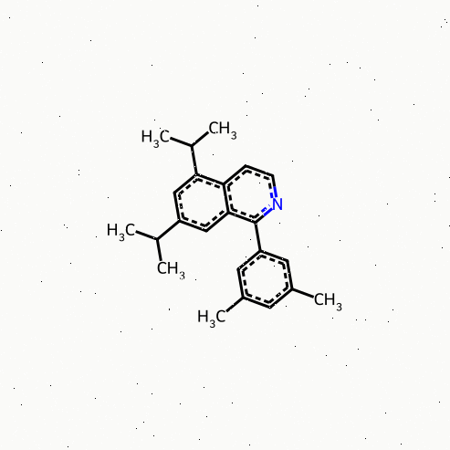 Cc1cc(C)cc(-c2nccc3c(C(C)C)cc(C(C)C)cc23)c1